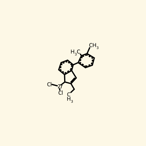 CCC1=Cc2c(-c3cccc(C)c3C)cccc2[CH]1[Zr]([Cl])[Cl]